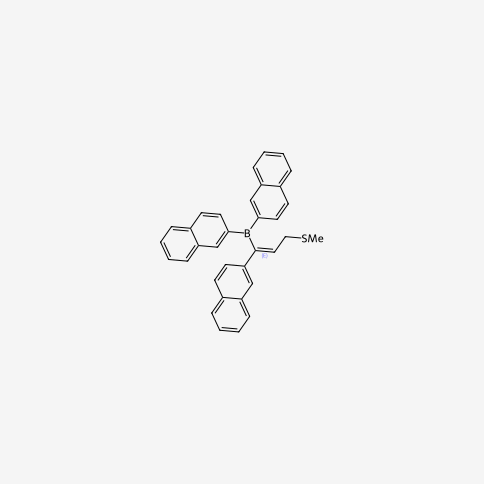 CSC/C=C(\B(c1ccc2ccccc2c1)c1ccc2ccccc2c1)c1ccc2ccccc2c1